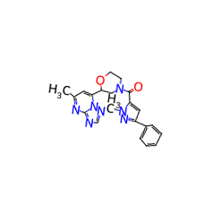 Cc1cc(C2CN(C(=O)c3cc(-c4ccccc4)nn3C)CCO2)n2ncnc2n1